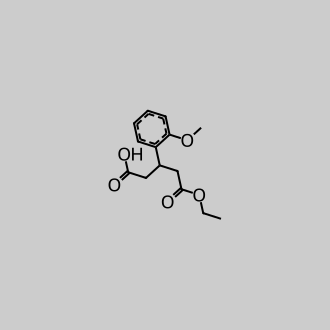 CCOC(=O)CC(CC(=O)O)c1ccccc1OC